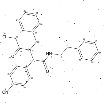 O=Nc1ccc(C(C(=O)NCCc2ccccc2)N(Cc2ccccc2)C(=O)CCl)cc1